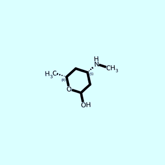 CN[C@@H]1CC(O)O[C@H](C)C1